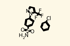 Clc1ccccc1.NS(=O)(=O)c1ccc(-n2nccc2C(F)(F)F)cc1